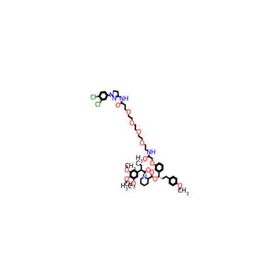 CCC(C(=O)N1CCCCC1C(=O)O[C@@H](CCc1ccc(OC)cc1)c1cccc(OCC(=O)NCCOCCOCCOCCOCCC(=O)NC2=NN(c3ccc(Cl)c(Cl)c3)CC2)c1)c1cc(OC)c(OC)c(OC)c1